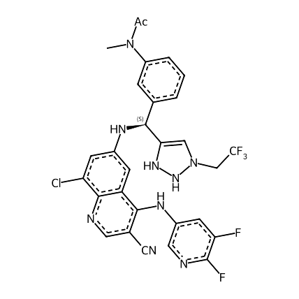 CC(=O)N(C)c1cccc([C@H](Nc2cc(Cl)c3ncc(C#N)c(Nc4cnc(F)c(F)c4)c3c2)C2=CN(CC(F)(F)F)NN2)c1